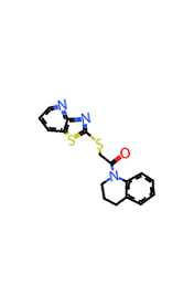 O=C(CSc1nc2ncccc2s1)N1CCCc2ccccc21